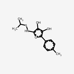 Cc1ccc(-c2oc(NSC(C)C)c(O)c2O)cc1